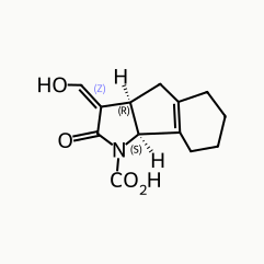 O=C(O)N1C(=O)/C(=C\O)[C@H]2CC3=C(CCCC3)[C@H]21